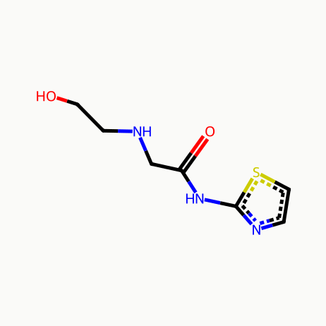 O=C(CNCCO)Nc1nccs1